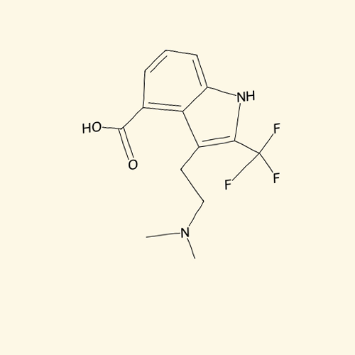 CN(C)CCc1c(C(F)(F)F)[nH]c2cccc(C(=O)O)c12